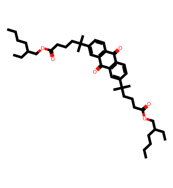 CCCCC(CC)COC(=O)CCCC(C)(C)c1ccc2c(c1)C(=O)c1cc(C(C)(C)CCCC(=O)OCC(CC)CCCC)ccc1C2=O